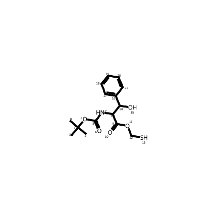 CC(C)(C)OC(=O)NC(C(=O)OCS)C(O)c1ccccc1